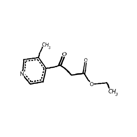 CCOC(=O)CC(=O)c1ccncc1C